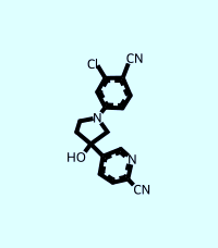 N#Cc1ccc(C2(O)CCN(c3ccc(C#N)c(Cl)c3)C2)cn1